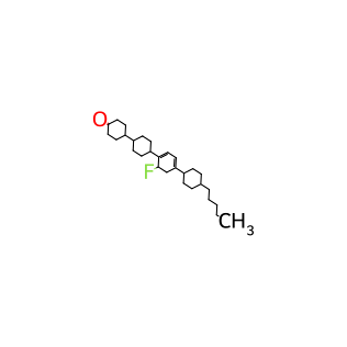 CCCCCC1CCC(C2=CC=C(C3CCC(C4CCC(=O)CC4)CC3)C(F)C2)CC1